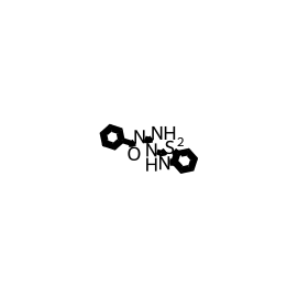 N/C(=N/C(=O)c1ccccc1)Nc1nc2ccccc2s1